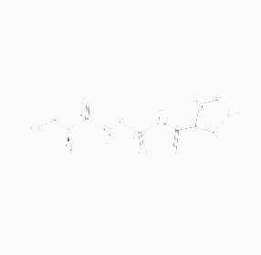 N[C@@H](CO)C(=O)NCC(=O)NC(=O)C1CCCN1